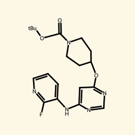 CC(C)(C)OC(=O)N1CCC(Oc2cc(Nc3cccnc3F)ncn2)CC1